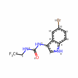 O=C(NCC(F)(F)F)Nc1c[nH]c2ccc(Br)cc12